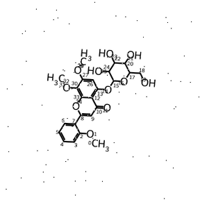 COc1ccccc1-c1cc(=O)c2c(OC3OC(CO)C(O)C(O)C3O)cc(OC)c(OC)c2o1